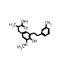 COc1cc(CC(C)C(=O)O)cc(CCc2cccc(C)c2)c1O